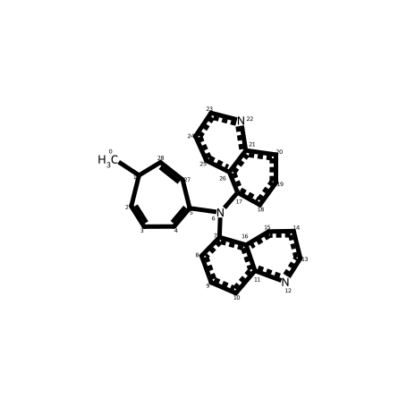 CC1C=CC=C(N(c2cccc3ncccc23)c2cccc3ncccc23)C=C1